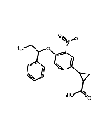 CCC(Oc1ccc(C2CC2C(=O)O)cc1[N+](=O)[O-])c1ccccc1